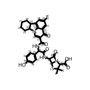 CC1(C)SC2C(NC(=O)C(NC(=O)c3cn4c5c(cc(F)cc5c3=O)C3CCCCC34)c3ccc(O)cc3)C(=O)N2C1C(=O)O